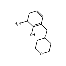 NC1CC=CC(CN2CCOCC2)=C1O